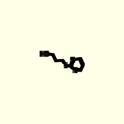 OCCCSc1ncccn1